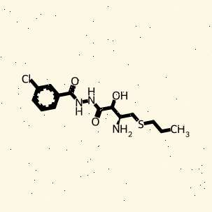 CCCSC[C@@H](N)C(O)C(=O)NNC(=O)c1cccc(Cl)c1